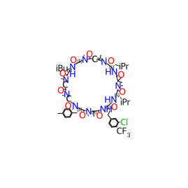 CCC(C)[C@@H]1NC(=O)[C@H](C)N(C)C(=O)C[C@@H](C)N(C)C(=O)[C@H](CC(C)C)NC(=O)C(C)(C)N(C)C(=O)[C@H](CC(C)C)NC(=O)[C@H](CCc2ccc(C(F)(F)F)c(Cl)c2)NC(=O)[C@@H](C)N(C)C(=O)[C@H](Cc2ccc(C)cc2)N(C)C(=O)CN(C)C(=O)CN(C)C1=O